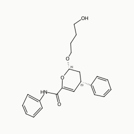 O=C(Nc1ccccc1)C1=C[C@@H](c2ccccc2)C[C@@H](OCCCCO)O1